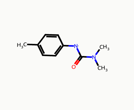 Cc1ccc([N]C(=O)N(C)C)cc1